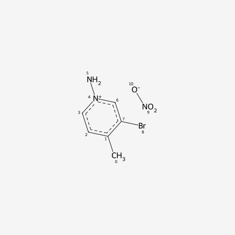 Cc1cc[n+](N)cc1Br.O=[N+]([O-])[O-]